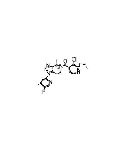 Cc1cc(-n2nnc3c2CCN(C(=O)c2ccnc(C(F)(F)F)c2Cl)[C@@H]3C)ncc1F